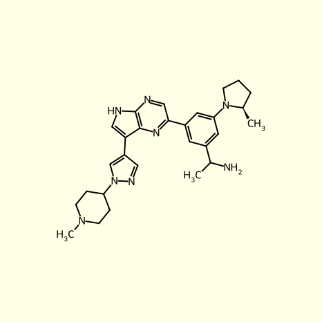 CC(N)c1cc(-c2cnc3[nH]cc(-c4cnn(C5CCN(C)CC5)c4)c3n2)cc(N2CCC[C@H]2C)c1